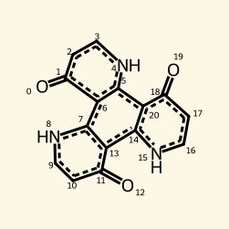 O=c1cc[nH]c2c1c1[nH]ccc(=O)c1c1[nH]ccc(=O)c21